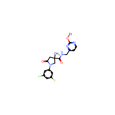 CCOc1nccc(CNC(=O)C2(C)CC(=O)N(c3cc(F)cc(F)c3)C2)n1